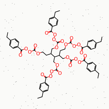 CCc1ccc(C(=O)OOC(=O)OCCC(COC(=O)OOC(=O)c2ccc(CC)cc2)C(COC(=O)OOC(=O)c2ccc(CC)cc2)C(CCOC(=O)OOC(=O)c2ccc(CC)cc2)COC(=O)OOC(=O)c2ccc(CC)cc2)cc1